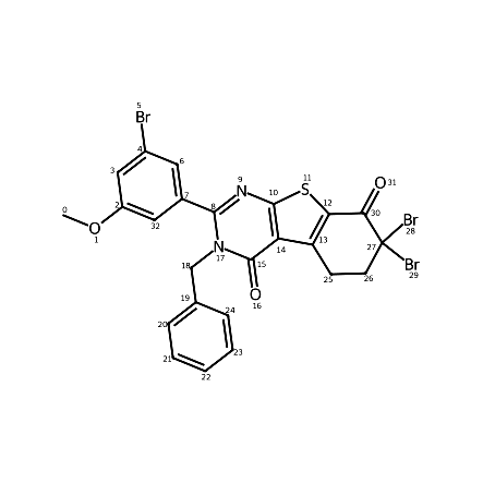 COc1cc(Br)cc(-c2nc3sc4c(c3c(=O)n2Cc2ccccc2)CCC(Br)(Br)C4=O)c1